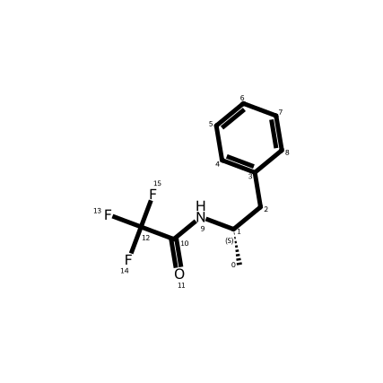 C[C@@H](Cc1ccccc1)NC(=O)C(F)(F)F